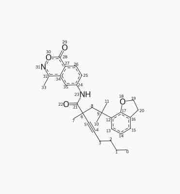 CCCCC#CC(C)(CC(C)(C)c1cccc2c1OCC2)C(=O)Nc1ccc2c(=O)onc(C)c2c1